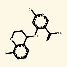 NC(=O)c1cnc(Cl)cc1NC1CCOc2c(F)cccc21